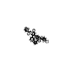 O=C(Cn1cc(-c2ccncc2)c(-c2cc(NCc3ccc(Cl)s3)n(C(=O)c3cccs3)n2)cc1=O)c1ccon1